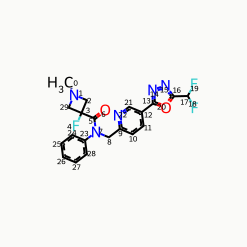 CN1CC(F)(C(=O)N(Cc2ccc(-c3nnc(C(F)F)o3)cn2)c2ccccc2)C1